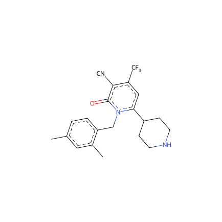 [C-]#[N+]c1c(C(F)(F)F)cc(C2CCNCC2)n(Cc2ccc(C)cc2C)c1=O